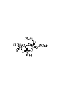 CCCCCCCCOP(=O)(OCCCCCCCC)OP(=O)(O)OP(=O)(O)O